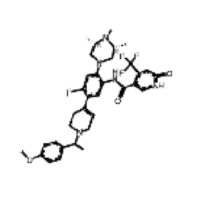 COc1ccc(C(C)N2CC=C(c3cc(NC(=O)c4c[nH]c(=O)cc4C(F)(F)F)c(N4C[C@@H](C)N(C)[C@@H](C)C4)cc3F)CC2)cc1